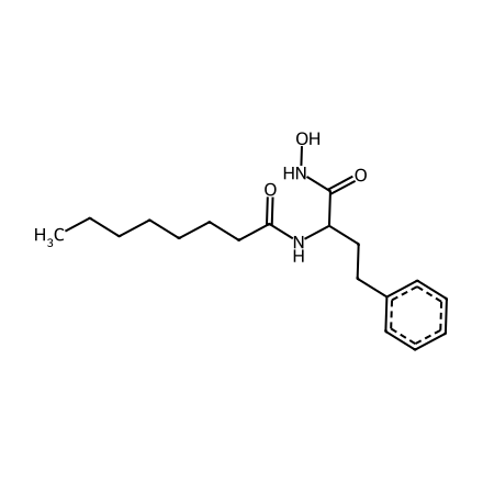 CCCCCCCC(=O)NC(CCc1ccccc1)C(=O)NO